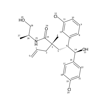 C=CC[C@@](C)(C[C@H](c1cccc(Cl)c1)[C@@H](O)c1ccc(Cl)cc1)C(=O)N[C@@H](C)CO